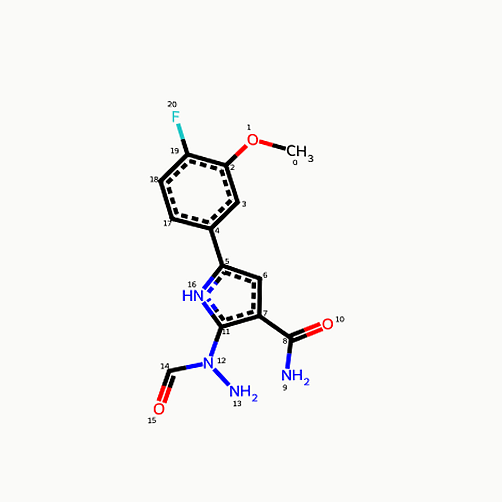 COc1cc(-c2cc(C(N)=O)c(N(N)C=O)[nH]2)ccc1F